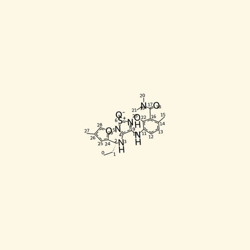 CC[C@@H](Nc1n[s+]([O-])nc1Nc1ccc(C)c(C(=O)N(C)C)c1O)c1cc(C)co1